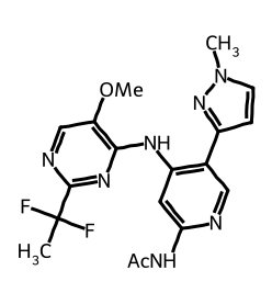 COc1cnc(C(C)(F)F)nc1Nc1cc(NC(C)=O)ncc1-c1ccn(C)n1